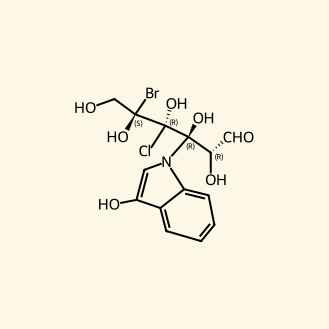 O=C[C@H](O)[C@](O)(n1cc(O)c2ccccc21)[C@@](O)(Cl)[C@@](O)(Br)CO